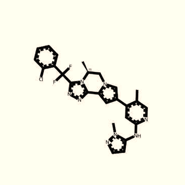 Cc1cnc(Nc2ccnn2C)cc1-c1cc2n(c1)C[C@H](C)n1c-2nnc1C(F)(F)c1ccccc1Cl